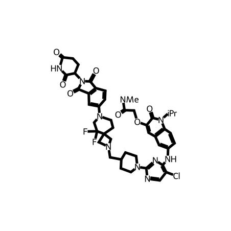 CNC(=O)COc1cc2cc(Nc3nc(N4CCC(CN5CC6(CCN(c7ccc8c(c7)C(=O)N(C7CCC(=O)NC7=O)C8=O)CC6(F)F)C5)CC4)ncc3Cl)ccc2n(C(C)C)c1=O